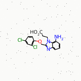 Nc1cccc2nc(COc3ccc(Cl)cc3Cl)n(CCC(=O)O)c12